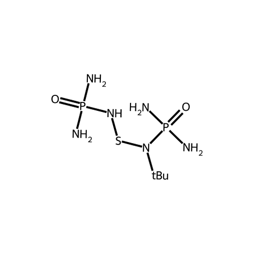 CC(C)(C)N(SNP(N)(N)=O)P(N)(N)=O